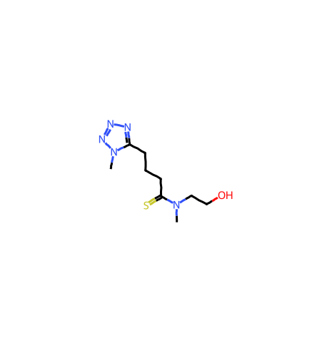 CN(CCO)C(=S)CCCc1nnnn1C